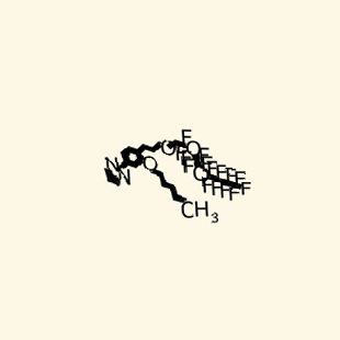 CCCCCCCOc1cc(-c2ncccn2)ccc1CCCOCC(F)(F)OC(F)(F)C(F)(F)OC(F)(F)C(F)(F)C(F)(F)C(F)(F)F